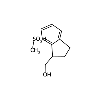 CS(=O)(=O)O.OCC1CCc2ccccc21